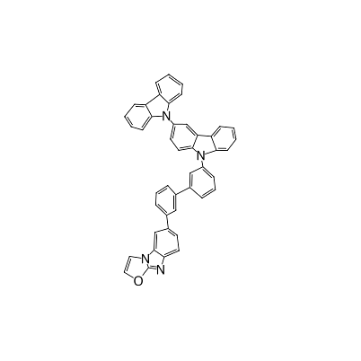 c1cc(-c2cccc(-n3c4ccccc4c4cc(-n5c6ccccc6c6ccccc65)ccc43)c2)cc(-c2ccc3nc4occn4c3c2)c1